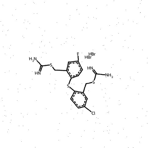 Br.Br.N=C(N)SCc1cc(F)ccc1Sc1ccc(Cl)cc1CSC(=N)N